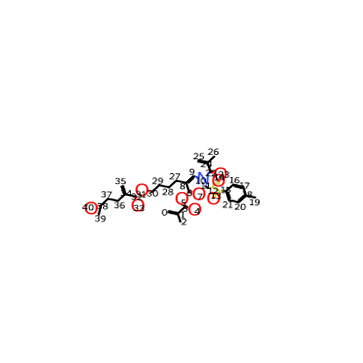 C=C(C)C(=O)OC(=O)C(=CN(CS(=O)(=O)c1ccc(C)cc1)C(=O)C(=C)C)CCCCOC(=O)C(=C)CCC1CO1